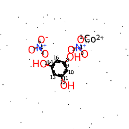 O=[N+]([O-])[O-].O=[N+]([O-])[O-].Oc1cc(O)cc(O)c1.[Co+2]